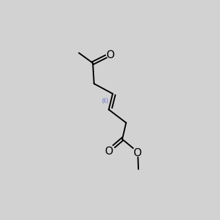 COC(=O)C/C=C/CC(C)=O